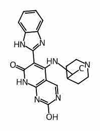 O=c1[nH]c2nc(O)ncc2c(NC2CN3CCC2CC3)c1-c1nc2ccccc2[nH]1